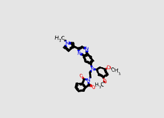 COC1=CC(N(CCN2C(=O)c3ccccc3C2=O)c2ccc3ncc(-c4ccn(C)c4)nc3c2)CC(OC)=C1